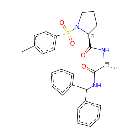 Cc1ccc(S(=O)(=O)N2CCC[C@H]2C(=O)N[C@H](C)C(=O)NC(c2ccccc2)c2ccccc2)cc1